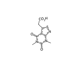 Cn1c(=O)c2c(CC(=O)O)snc2n(C)c1=O